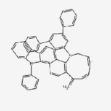 C=C1/C=C\C=C/CN(c2cc(-c3ccccc3)cc(-c3ccccc3)c2)c2c1ccc1c2ccc2c3ccccc3n(-c3ccccc3)c12